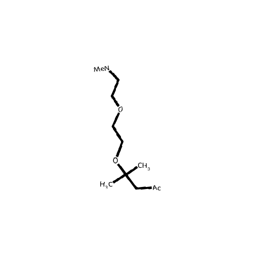 CNCCOCCOC(C)(C)CC(C)=O